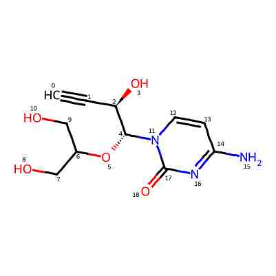 C#C[C@@H](O)[C@@H](OC(CO)CO)n1ccc(N)nc1=O